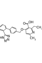 CCc1nc(C)cc(OCc2ccc(-c3ccccc3-c3nnn[nH]3)cc2)c1C(=O)O